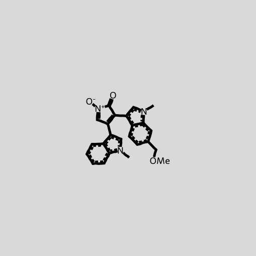 COCc1ccc2c(C3=C(c4cn(C)c5ccccc45)C=[N+]([O-])C3=O)cn(C)c2c1